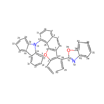 C=Cc1oc2c(ccc3cccc(-n4c5ccccc5c5ccccc54)c32)c1/C(=C\C)c1nc2ccccc2o1